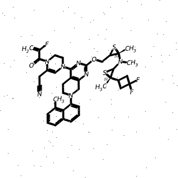 C=C(F)C(=O)N1CCN(c2nc(OCC3S[C@]3(C)N(C)C3S[C@@]3(C)C3CC(F)(F)C3)nc3c2CCN(c2cccc4cccc(C)c24)C3)C=C1CC#N